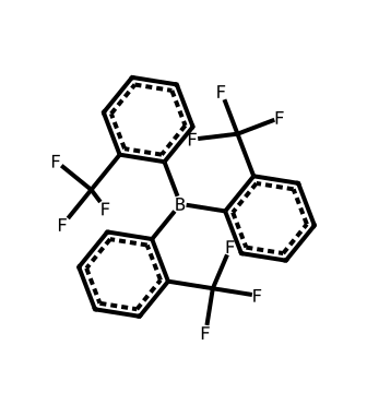 FC(F)(F)c1ccccc1B(c1ccccc1C(F)(F)F)c1ccccc1C(F)(F)F